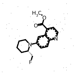 COC(=O)c1ccnc2ccc(N3CCCC[C@H]3CF)cc12